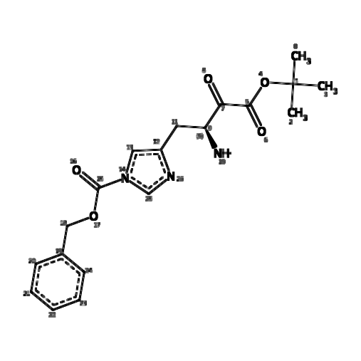 CC(C)(C)OC(=O)C(=O)[C@@H]([NH])Cc1cn(C(=O)OCc2ccccc2)cn1